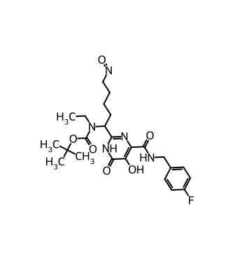 CCN(C(=O)OC(C)(C)C)C(CCCCN=O)c1nc(C(=O)NCc2ccc(F)cc2)c(O)c(=O)[nH]1